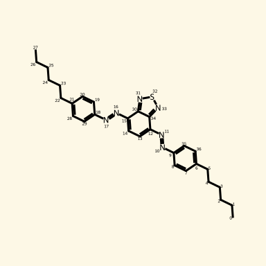 CCCCCCc1ccc(/N=N/c2ccc(/N=N/c3ccc(CCCCCC)cc3)c3nsnc23)cc1